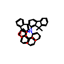 CC1(C)c2ccccc2-c2cccc(N(c3ccccc3-c3ccccc3)c3ccccc3-c3cccc4oc5c6ccccc6ccc5c34)c21